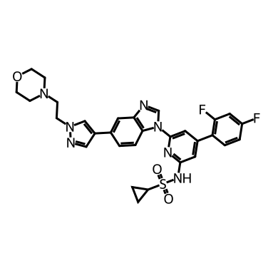 O=S(=O)(Nc1cc(-c2ccc(F)cc2F)cc(-n2cnc3cc(-c4cnn(CCN5CCOCC5)c4)ccc32)n1)C1CC1